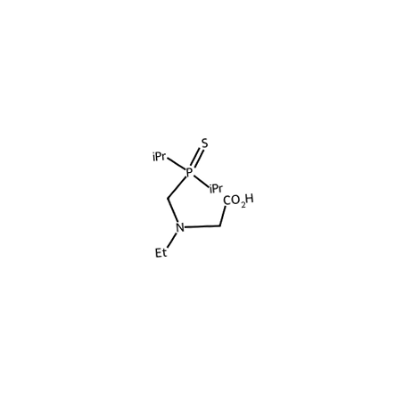 CCN(CC(=O)O)CP(=S)(C(C)C)C(C)C